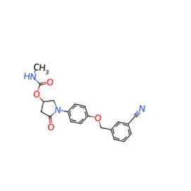 CNC(=O)OC1CC(=O)N(c2ccc(OCc3cccc(C#N)c3)cc2)C1